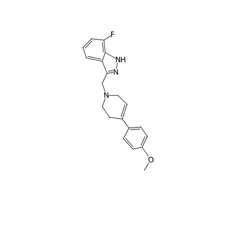 COc1ccc(C2=CCN(Cc3n[nH]c4c(F)cccc34)CC2)cc1